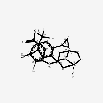 O=C(O)c1cc(C2CC2)c(CN2[C@@H]3CC[C@H]2CC(Oc2cc(C(F)(F)F)cc(Cl)c2F)C3)cc1F